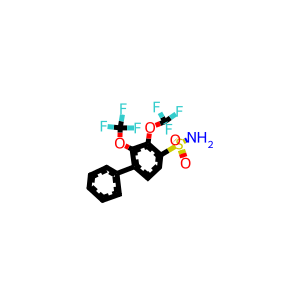 NS(=O)(=O)c1ccc(-c2ccccc2)c(OC(F)(F)F)c1OC(F)(F)F